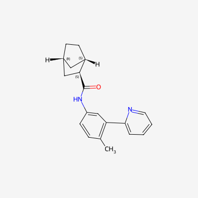 Cc1ccc(NC(=O)[C@H]2C[C@@H]3CC[C@H]2C3)cc1-c1ccccn1